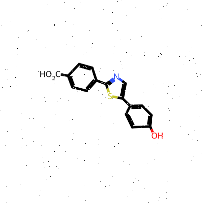 O=C(O)c1ccc(-c2ncc(-c3ccc(O)cc3)s2)cc1